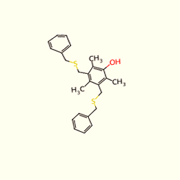 Cc1c(O)c(C)c(CSCc2ccccc2)c(C)c1CSCc1ccccc1